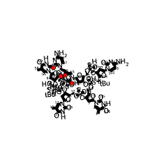 Cc1cn([C@H]2CC(OP(O)(=S)OC[C@H]3O[C@@H](n4cc(C)c(=O)[nH]c4=O)CC3OP(O)(=S)OC[C@H]3O[C@@H](n4ccc(N)nc4=O)CC3OP(O)(=S)OC[C@H]3O[C@@H](n4cc(C)c(=O)[nH]c4=O)CC3OP(O)(=S)OC(C)(C)C)[C@@H](COP(O)(=S)OC3C[C@H](n4ccc(N)nc4=O)O[C@@H]3COP(O)(=S)OC3C[C@H](n4ccc(N)nc4=O)O[C@@H]3CC(C)(C)C)O2)c(=O)[nH]c1=O